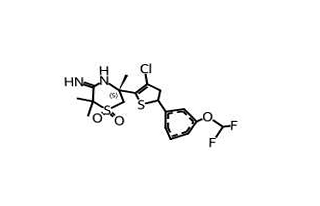 CC1(C)C(=N)N[C@](C)(C2=C(Cl)CC(c3cccc(OC(F)F)c3)S2)CS1(=O)=O